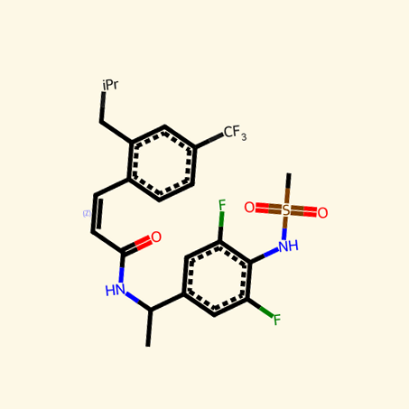 CC(C)Cc1cc(C(F)(F)F)ccc1/C=C\C(=O)NC(C)c1cc(F)c(NS(C)(=O)=O)c(F)c1